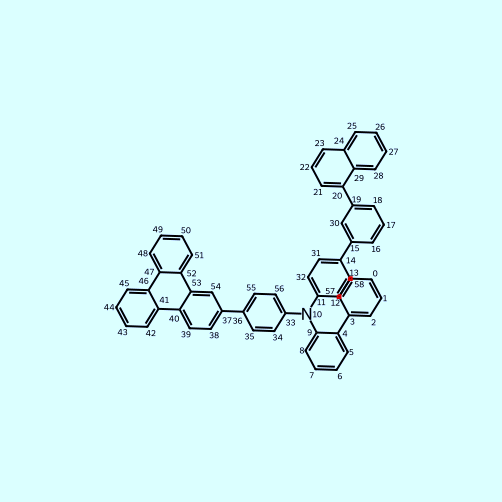 c1ccc(-c2ccccc2N(c2ccc(-c3cccc(-c4cccc5ccccc45)c3)cc2)c2ccc(-c3ccc4c5ccccc5c5ccccc5c4c3)cc2)cc1